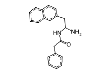 NC(Cc1ccc2ccccc2c1)NC(=O)Cc1ccccc1